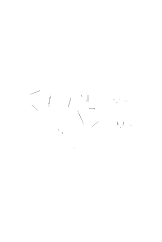 COc1c(OC=O)c(CN(C)C)c2c(Cc3ccccc3)c(C)[nH]c2c1OC